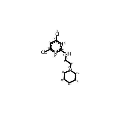 Clc1cc(Cl)nc(NCCN2CCCCC2)n1